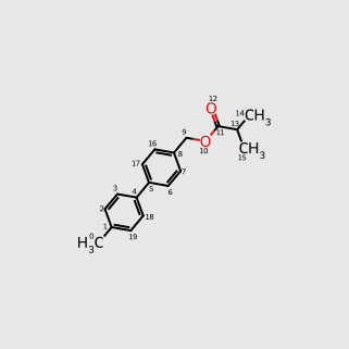 Cc1ccc(-c2ccc(COC(=O)C(C)C)cc2)cc1